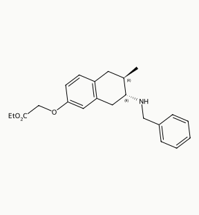 CCOC(=O)COc1ccc2c(c1)C[C@@H](NCc1ccccc1)[C@H](C)C2